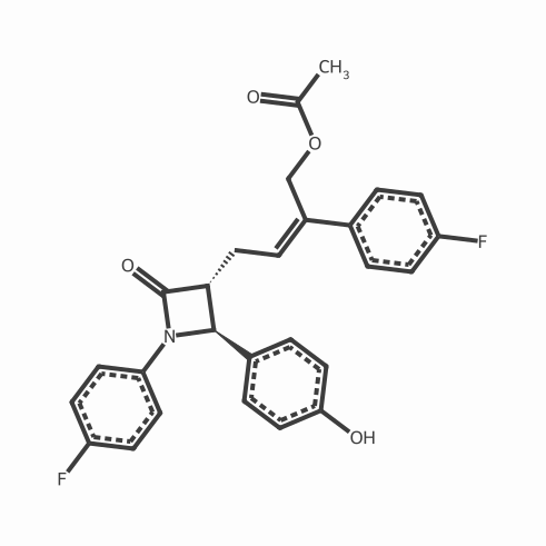 CC(=O)OCC(=CC[C@H]1C(=O)N(c2ccc(F)cc2)[C@@H]1c1ccc(O)cc1)c1ccc(F)cc1